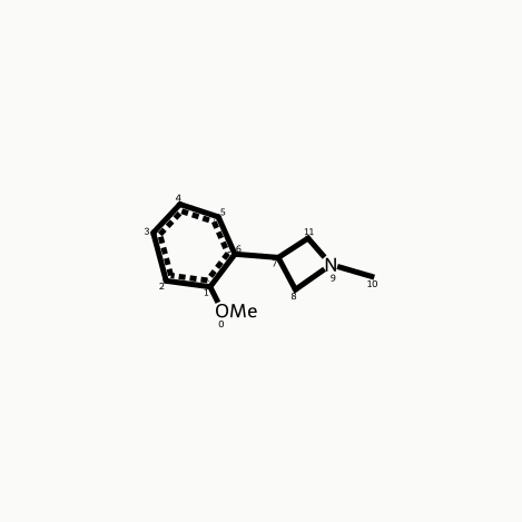 COc1ccccc1C1CN(C)C1